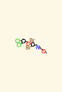 CCOCCC/N=C/c1cc(Br)c(OCc2ccc(Cl)c(Cl)c2)c(Br)c1